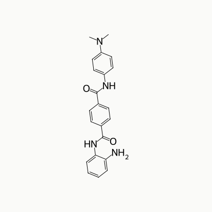 CN(C)c1ccc(NC(=O)c2ccc(C(=O)Nc3ccccc3N)cc2)cc1